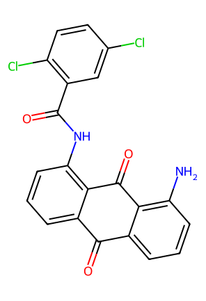 Nc1cccc2c1C(=O)c1c(NC(=O)c3cc(Cl)ccc3Cl)cccc1C2=O